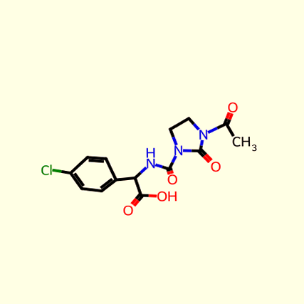 CC(=O)N1CCN(C(=O)NC(C(=O)O)c2ccc(Cl)cc2)C1=O